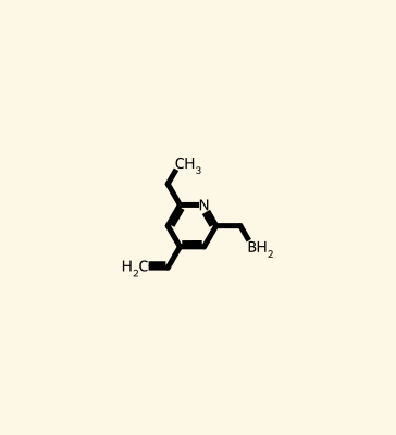 BCc1cc(C=C)cc(CC)n1